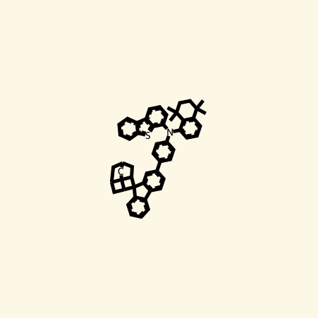 CC1(C)CCC(C)(C)c2c(N(c3ccc(-c4ccc5c(c4)C4(c6ccccc6-5)C5CC6CC7CC4C75C6)cc3)c3cccc4c3sc3ccccc34)cccc21